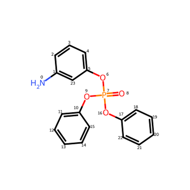 Nc1cccc(OP(=O)(Oc2ccccc2)Oc2ccccc2)c1